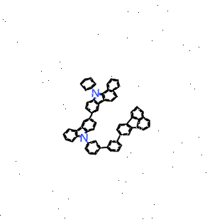 c1ccc(-n2c3ccc(-c4ccc5c(c4)c4ccccc4n5-c4cccc(-c5cccc(-c6ccc7c(c6)-c6cccc8cccc-7c68)c5)c4)cc3c3ccc4ccccc4c32)cc1